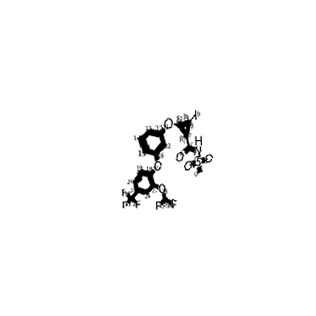 CS(=O)(=O)NC(=O)[C@@H]1[C@@H](I)[C@H]1Oc1cccc(Oc2ccc(C(F)(F)F)cc2OC(F)F)c1